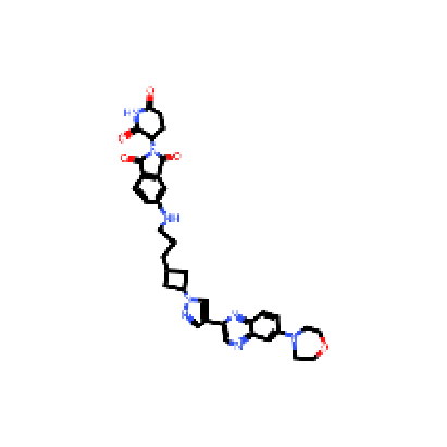 O=C1CCC(N2C(=O)c3ccc(NCCCC4CC(n5cc(-c6cnc7cc(N8CCOCC8)ccc7n6)cn5)C4)cc3C2=O)C(=O)N1